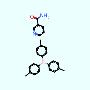 Cc1ccc(B(c2ccc(C)cc2)c2ccc(C)cc2)cc1.NC(=O)c1cccnc1